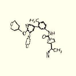 C/C(C#N)=C1\CCN(C(=O)Nc2ccc(C)c(-c3cnc(OC4CCOCC4)c(N4CCOCC4)c3)c2)C1